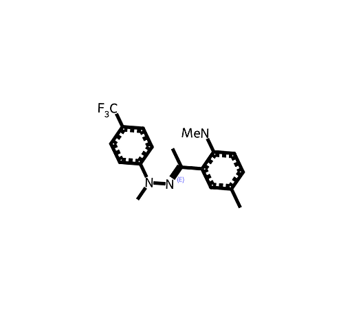 CNc1ccc(C)cc1/C(C)=N/N(C)c1ccc(C(F)(F)F)cc1